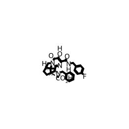 CC1(C)[C@@H]2CC[C@@]1(C)[C@@H](N(Cc1ccccc1)C(=O)O)c1nc(C(=O)NCc3ccc(F)cc3)c(O)c(=O)n1C2